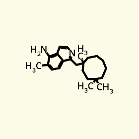 Cc1ccc2c(CC3(C)CCCCCC(C)(C)CC3)nccc2c1N